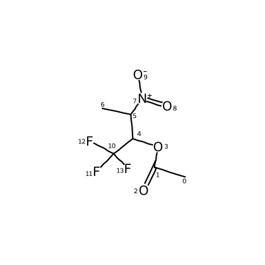 CC(=O)OC(C(C)[N+](=O)[O-])C(F)(F)F